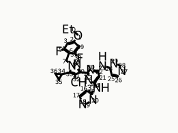 CCOc1cc(F)c(Cn2nc(-c3nc(Nc4ccncn4)cc(Nc4ccncn4)n3)c(C)c2C2CC2)c(F)c1